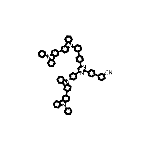 N#Cc1cccc(-c2ccc(-c3nc(-c4ccc(-c5cccc(-n6c7ccccc7c7cc(-c8ccc9c(c8)c8ccccc8n9-c8ccccc8)ccc76)c5)cc4)cc(-c4ccc(-n5c6ccccc6c6cc(-c7ccc8c(c7)c7ccccc7n8-c7ccccc7)ccc65)cc4)n3)cc2)c1